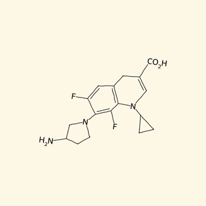 NC1CCN(c2c(F)cc3c(c2F)N(C2CC2)C=C(C(=O)O)C3)C1